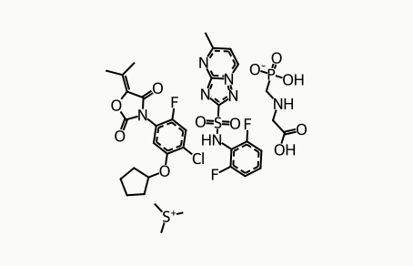 CC(C)=C1OC(=O)N(c2cc(OC3CCCC3)c(Cl)cc2F)C1=O.C[S+](C)C.Cc1ccn2nc(S(=O)(=O)Nc3c(F)cccc3F)nc2n1.O=C(O)CNCP(=O)([O-])O